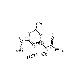 CCCC(CN[C@@H](CC)C(N)=O)CC(=O)OC(C)C.Cl